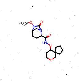 O=C(NOC1CCOCC12CCCC2)C1CCC2CN1C(=O)N2OS(=O)(=O)O